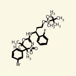 CC1(C)OC(N[C@@H](CCO[Si](C)(C)C(C)(C)C)c2ccccc2F)=NS(=O)(=O)C1(C)c1cccc(Br)c1